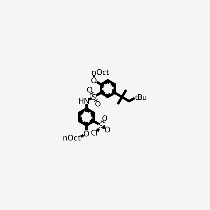 CCCCCCCCOc1ccc(NS(=O)(=O)c2cc(C(C)(C)CC(C)(C)C)ccc2OCCCCCCCC)cc1S(=O)(=O)Cl